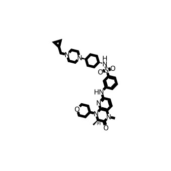 C[C@@H]1C(=O)N(C)c2ccc(Nc3cccc(S(=O)(=O)N[C@H]4CC[C@H](N5CCN(CC6CC6)CC5)CC4)c3)nc2N1C1CCOCC1